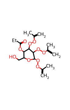 C=C(C)OOC1OC(CO)C(OC(=O)CC)C(OOC(=C)C)C1OOC(=C)C